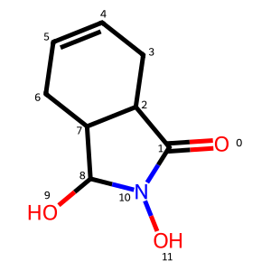 O=C1C2CC=CCC2C(O)N1O